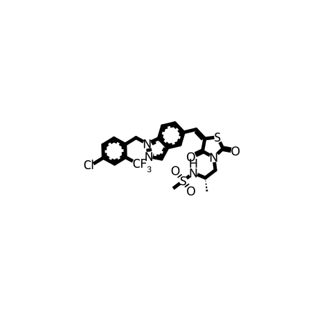 C[C@@H](CN1C(=O)SC(=Cc2ccc3c(cnn3Cc3ccc(Cl)cc3C(F)(F)F)c2)C1=O)NS(C)(=O)=O